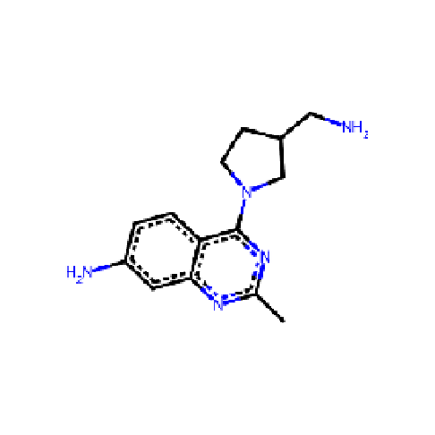 Cc1nc(N2CCC(CN)C2)c2ccc(N)cc2n1